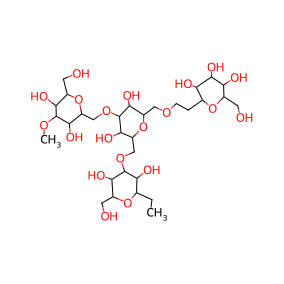 CCC1OC(CO)C(O)C(OCC2OC(COCCC3OC(CO)C(O)C(O)C3O)C(O)C(OCC3OC(CO)C(O)C(OC)C3O)C2O)C1O